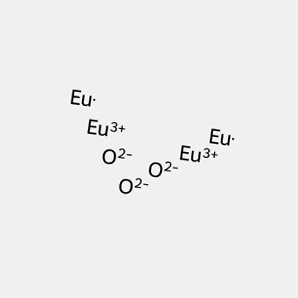 [Eu+3].[Eu+3].[Eu].[Eu].[O-2].[O-2].[O-2]